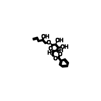 C=CCC(O)CO[C@H]1O[C@@H]2COC(c3ccccc3)O[C@@H]2[C@H](O)[C@H]1O